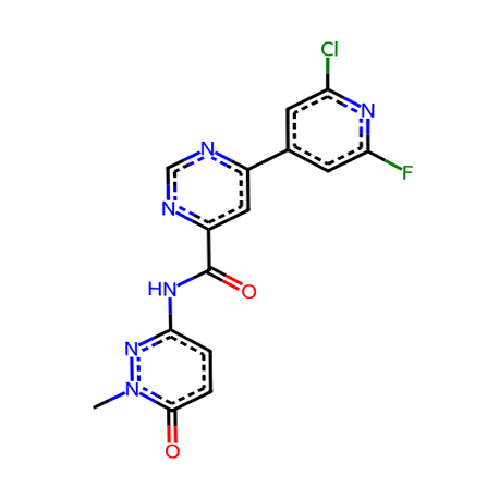 Cn1nc(NC(=O)c2cc(-c3cc(F)nc(Cl)c3)ncn2)ccc1=O